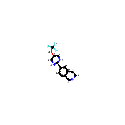 FC(F)(F)Oc1cnc(-c2ccc3cnccc3c2)nc1